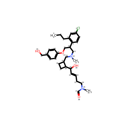 CCCc1cc(Cl)ccc1C(COc1ccc(CO)cc1)CN(C)CC1CCC1C(O)/C=C/CCN(C)C=O